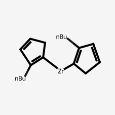 CCCCC1=[C]([Zr][C]2=C(CCCC)C=CC2)CC=C1